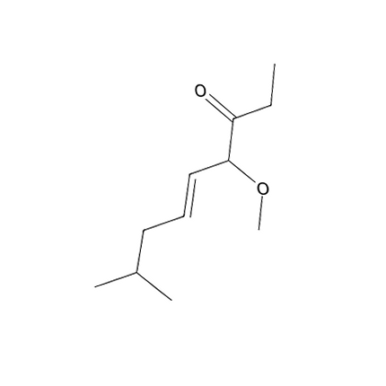 CCC(=O)C(C=CCC(C)C)OC